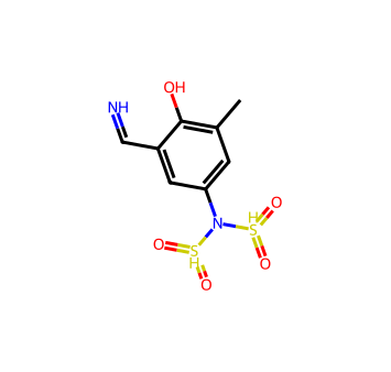 Cc1cc(N([SH](=O)=O)[SH](=O)=O)cc(C=N)c1O